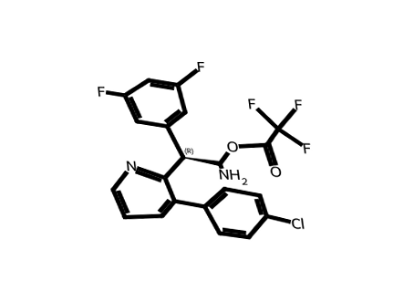 NC(OC(=O)C(F)(F)F)[C@H](c1cc(F)cc(F)c1)c1ncccc1-c1ccc(Cl)cc1